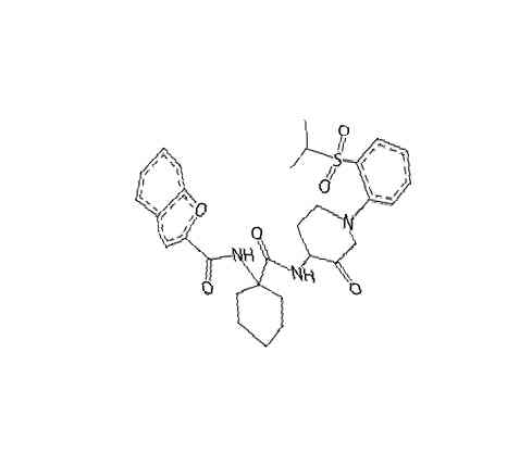 CC(C)S(=O)(=O)c1ccccc1N1CCC(NC(=O)C2(NC(=O)c3cc4ccccc4o3)CCCCC2)C(=O)C1